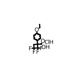 CCOc1ccc(C2(C(=O)O)CC(F)(F)C2(F)F)cc1.Cl